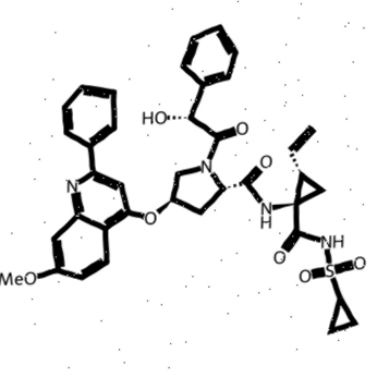 C=C[C@@H]1C[C@]1(NC(=O)[C@@H]1C[C@@H](Oc2cc(-c3ccccc3)nc3cc(OC)ccc23)CN1C(=O)[C@H](O)c1ccccc1)C(=O)NS(=O)(=O)C1CC1